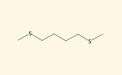 [CH2]SCCCCSC